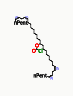 CCCCC/C=C\C/C=C\CCCCCCCCC(CCCCCCCC/C=C\C/C=C\CCCCC)OC(=O)Cl